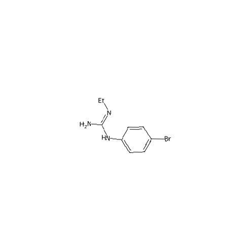 CCN=C(N)Nc1ccc(Br)cc1